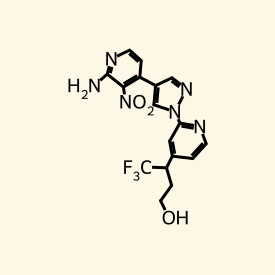 Nc1nccc(-c2cnn(-c3cc(C(CCO)C(F)(F)F)ccn3)c2)c1[N+](=O)[O-]